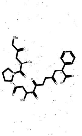 CCCCC(CC(=O)[C@@H]1CCCN1C(=O)[C@@H](CC(=O)CC(C)(C)C)C(C)(C)C)C(=O)C(=O)CCC(=O)C[C@H](C(=O)C(C)C)c1ccccc1